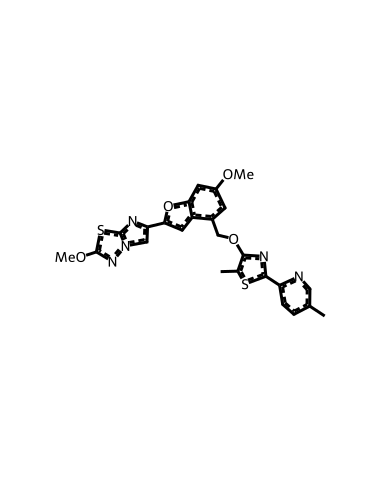 COc1cc(COc2nc(-c3ccc(C)cn3)sc2C)c2cc(-c3cn4nc(OC)sc4n3)oc2c1